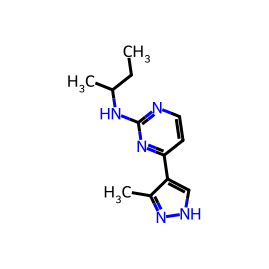 CCC(C)Nc1nccc(-c2c[nH]nc2C)n1